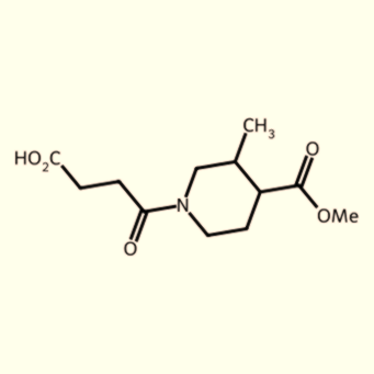 COC(=O)C1CCN(C(=O)CCC(=O)O)CC1C